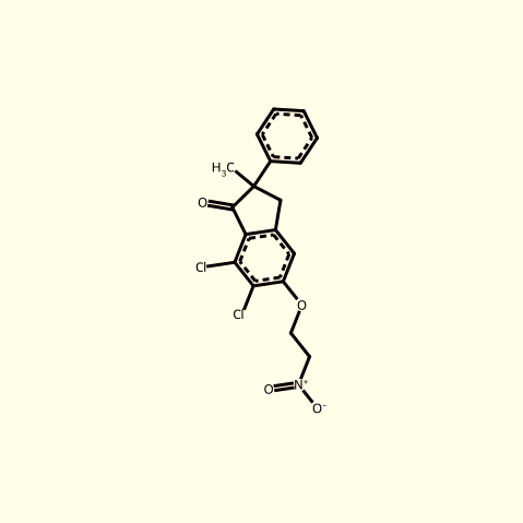 CC1(c2ccccc2)Cc2cc(OCC[N+](=O)[O-])c(Cl)c(Cl)c2C1=O